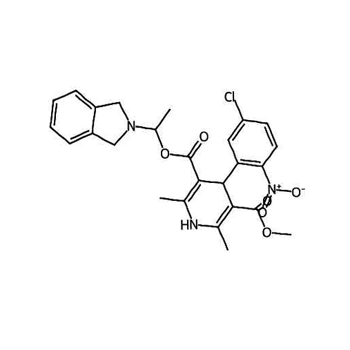 COC(=O)C1=C(C)NC(C)=C(C(=O)OC(C)N2Cc3ccccc3C2)C1c1cc(Cl)ccc1[N+](=O)[O-]